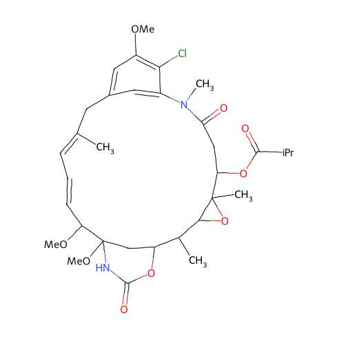 COc1cc2cc(c1Cl)N(C)C(=O)CC(OC(=O)C(C)C)C1(C)OC1C(C)C1CC(OC)(NC(=O)O1)C(OC)/C=C/C=C(\C)C2